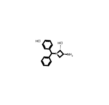 C[C@@H]1[C@@H](N)CN1C(c1ccccc1)c1ccccc1.Cl.Cl